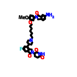 COc1ccc(N2Cc3ccc(N)cc3C2=O)cc1OCCCCCCCN1CCC(c2cc(F)cc3c2CN(C2CCC(=O)NC2=O)C3=O)CC1